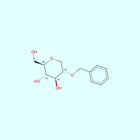 OC[C@H]1O[CH][C@H](OCc2ccccc2)[C@@H](O)[C@@H]1O